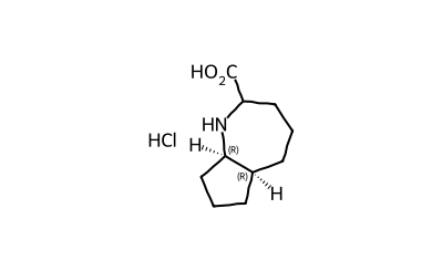 Cl.O=C(O)C1CCC[C@H]2CCC[C@H]2N1